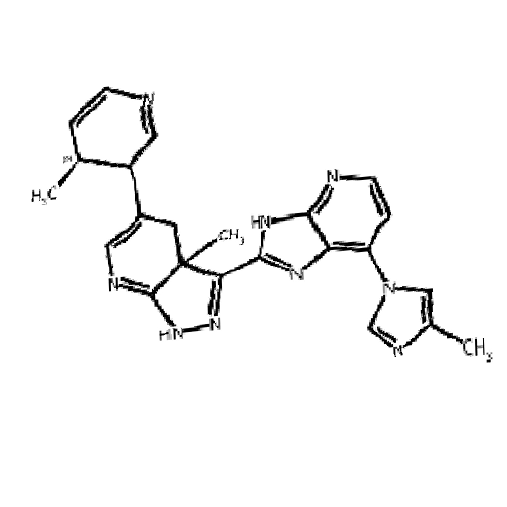 Cc1cn(-c2ccnc3[nH]c(C4=NNC5=NC=C(C6C=NC=C[C@@H]6C)CC54C)nc23)cn1